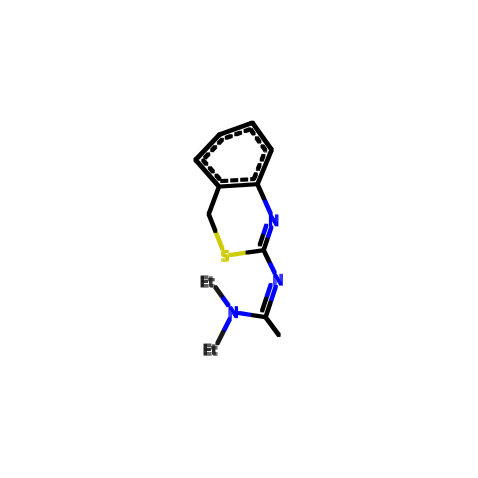 CCN(CC)C(C)=NC1=Nc2ccccc2CS1